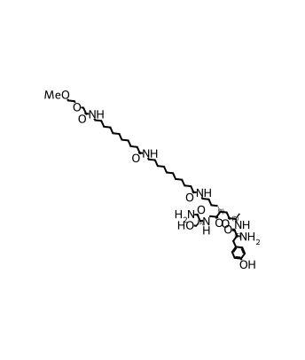 COCCOCC(=O)NCCCCCCCCCCC(=O)NCCCCCCCCCCC(=O)NCCCC[C@H](CC(=O)[C@@H](C)NC(=O)[C@@H](N)Cc1ccc(O)cc1)C(=O)CN[C@@H](CO)C(N)=O